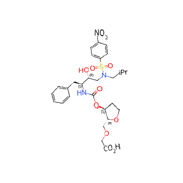 CC(C)CN(C[C@@H](O)[C@H](Cc1ccccc1)NC(=O)O[C@H]1CCO[C@@H]1COCC(=O)O)S(=O)(=O)c1ccc([N+](=O)[O-])cc1